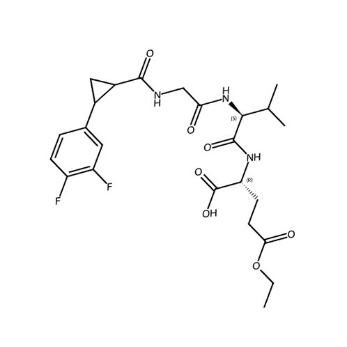 CCOC(=O)CC[C@@H](NC(=O)[C@@H](NC(=O)CNC(=O)C1CC1c1ccc(F)c(F)c1)C(C)C)C(=O)O